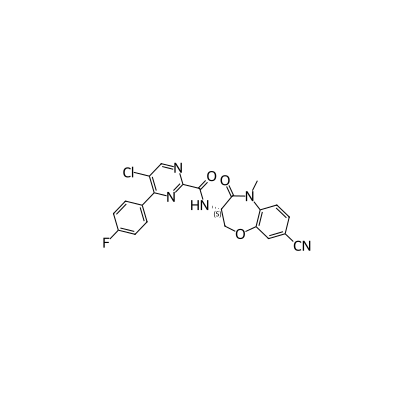 CN1C(=O)[C@@H](NC(=O)c2ncc(Cl)c(-c3ccc(F)cc3)n2)COc2cc(C#N)ccc21